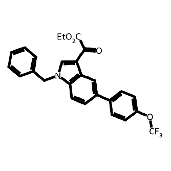 CCOC(=O)C(=O)c1cn(Cc2ccccc2)c2ccc(-c3ccc(OC(F)(F)F)cc3)cc12